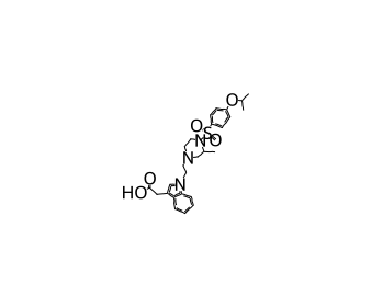 CC(C)Oc1ccc(S(=O)(=O)N2CCN(CCn3cc(CC(=O)O)c4ccccc43)CC2C)cc1